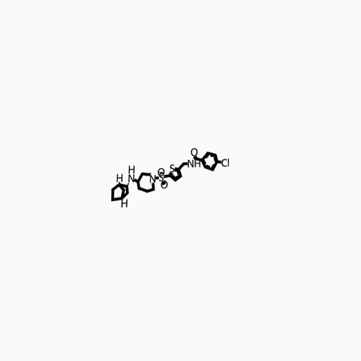 O=C(NCc1ccc(S(=O)(=O)N2CCCC(N[C@@H]3C[C@H]4CC[C@@H]3C4)CC2)s1)c1ccc(Cl)cc1